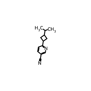 CC(C)C1CC(c2ccc(C#N)cn2)C1